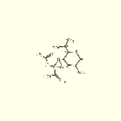 C=C(C)C1(OC(=O)O)OO1.CC1CCC(C(C)C)CC1